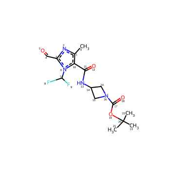 Cc1nc(C=O)n(C(F)F)c1C(=O)NC1CN(C(=O)OC(C)(C)C)C1